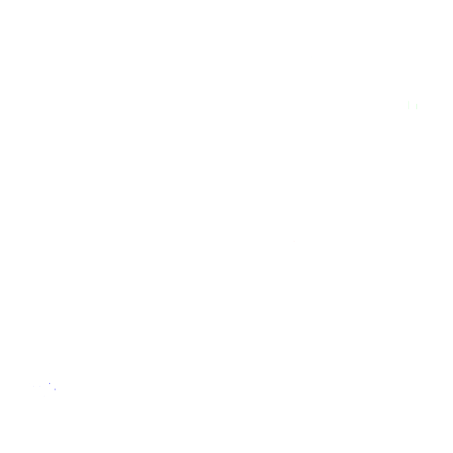 NCCCCCCCCCCOc1ccc(-c2cc(Br)cc(Br)c2)cc1